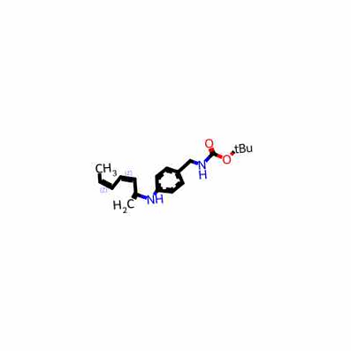 C=C(/C=C\C=C/C)Nc1ccc(CNC(=O)OC(C)(C)C)cc1